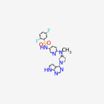 CN(c1ccc(NS(=O)(=O)c2cc(F)ccc2F)cn1)[C@@H]1CCN(c2ncnc3[nH]ccc23)C1